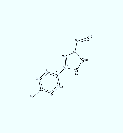 Cc1ccc(C2=CC(C=S)SS2)cc1